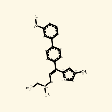 CCOc1cccc(-c2ccc(C(=CCN(C)CC(=O)O)c3cc(C)cs3)cc2)c1